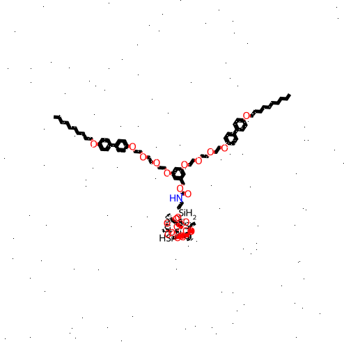 CCCCCCCCCCOc1ccc(-c2ccc(OCCOCCOCCOc3cc(COC(=O)NCC[SiH2]O[Si]45O[Si]6(C)O[Si]7(C)O[SiH]8O[Si](C)(O6)O[Si](C)(O[Si](C)(O8)O[Si](C)(O7)O4)O5)cc(OCCOCCOCCOc4ccc(-c5ccc(OCCCCCCCCCC)cc5)cc4)c3)cc2)cc1